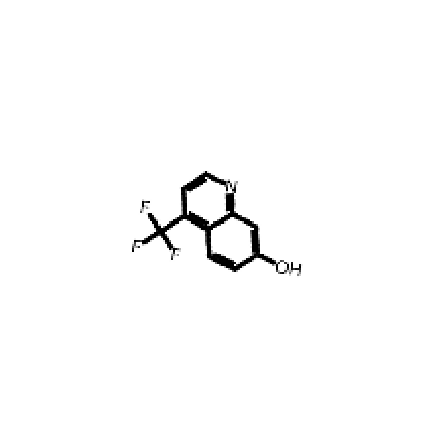 Oc1ccc2c(C(F)(F)F)ccnc2c1